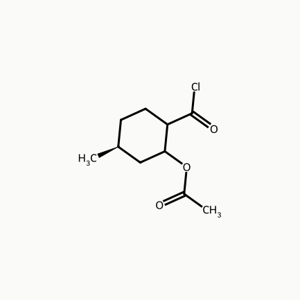 CC(=O)OC1C[C@@H](C)CCC1C(=O)Cl